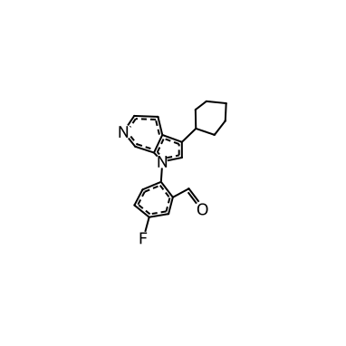 O=Cc1cc(F)ccc1-n1cc(C2CCCCC2)c2ccncc21